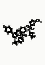 Cn1ccc(S(=O)(=O)N(C2CC(F)(F)C2)[C@H]2CCC3=Cc4c(cnn4-c4ccc(F)cc4)C[C@]3(C(=O)c3ncc(C(F)(F)F)s3)C2)n1